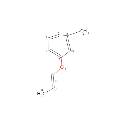 C/C=C/Oc1cccc(C)c1